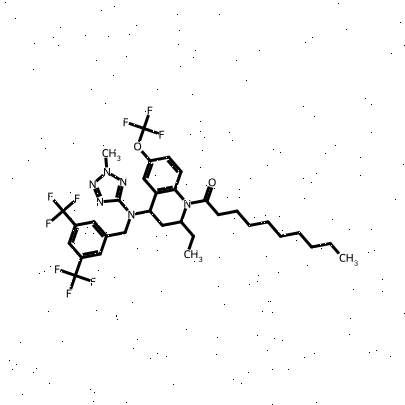 CCCCCCCCCC(=O)N1c2ccc(OC(F)(F)F)cc2C(N(Cc2cc(C(F)(F)F)cc(C(F)(F)F)c2)c2nnn(C)n2)CC1CC